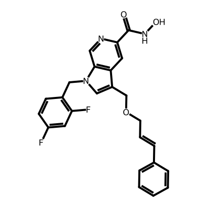 O=C(NO)c1cc2c(COC/C=C/c3ccccc3)cn(Cc3ccc(F)cc3F)c2cn1